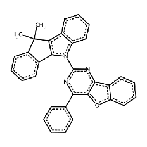 CC1(C)c2ccccc2-c2c1c1ccccc1n2-c1nc(-c2ccccc2)c2oc3ccccc3c2n1